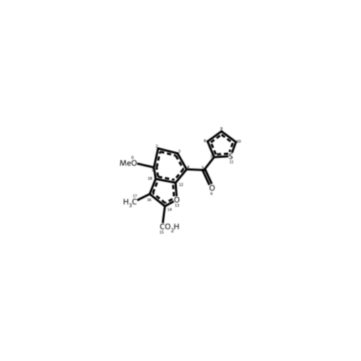 COc1ccc(C(=O)c2cccs2)c2oc(C(=O)O)c(C)c12